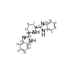 c1ccc2[nH]c([C@@H]3CCC[C@H](c4nc5ccccc5[nH]4)N3)nc2c1